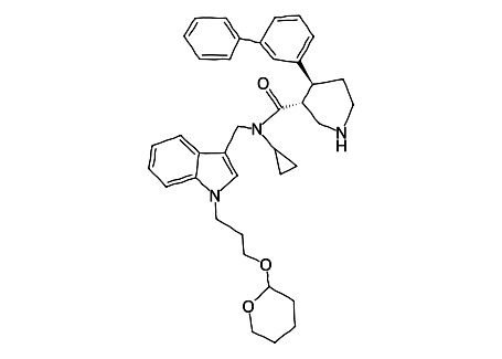 O=C([C@H]1CNCC[C@@H]1c1cccc(-c2ccccc2)c1)N(Cc1cn(CCCOC2CCCCO2)c2ccccc12)C1CC1